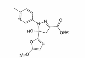 COC(=O)C1=NN(c2ccc(C)nc2)C(O)(c2ncc(OC)o2)C1